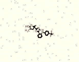 CN(CC1(c2nnc(-c3ccccc3Nc3ccc(C(F)(F)F)cc3)o2)CC1)C(=O)O